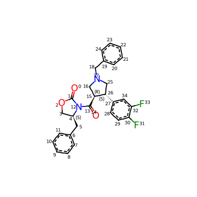 O=C1OC[C@H](Cc2ccccc2)N1C(=O)[C@H]1CN(Cc2ccccc2)C[C@@H]1c1ccc(F)c(F)c1